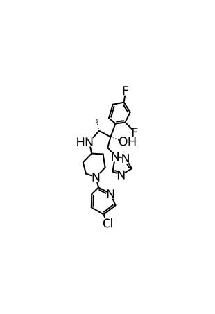 C[C@@H](NC1CCN(c2ccc(Cl)cn2)CC1)[C@](O)(Cn1cncn1)c1ccc(F)cc1F